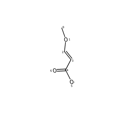 COC=CC([O])=O